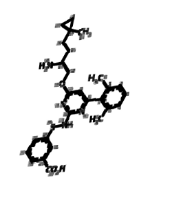 Cc1cccc(C)c1-c1cc(OCC(N)CCC2(C)CC2)nc(NSc2cccc(C(=O)O)c2)n1